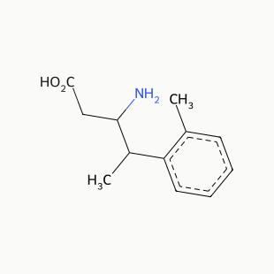 Cc1ccccc1C(C)C(N)CC(=O)O